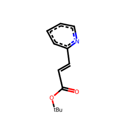 CC(C)(C)OC(=O)/C=C/c1ccccn1